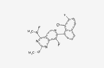 COc1nc(N(C)F)c2cnc(-c3cccc4ccc(F)c(Cl)c34)c(F)c2n1